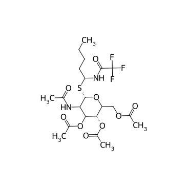 CCCCC(NC(=O)C(F)(F)F)S[C@@H]1OC(COC(C)=O)[C@H](OC(C)=O)C(OC(C)=O)C1NC(C)=O